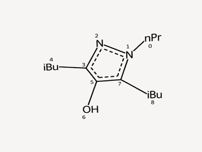 CCCn1nc(C(C)CC)c(O)c1C(C)CC